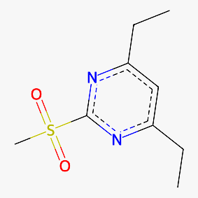 CCc1cc(CC)nc(S(C)(=O)=O)n1